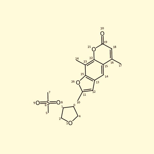 C1CCOC1.CS(C)(=O)=O.Cc1cc2cc3c(C)cc(=O)oc3c(C)c2o1